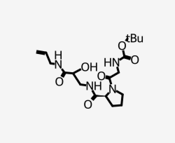 C=CCNC(=O)C(O)CNC(=O)[C@@H]1CCCN1C(=O)CNC(=O)OC(C)(C)C